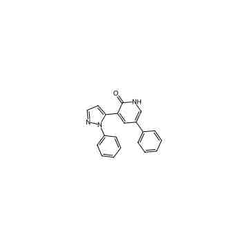 O=c1[nH]cc(-c2ccccc2)cc1-c1ccnn1-c1ccccc1